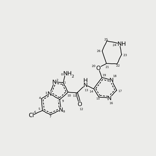 Nc1nn2cc(Cl)cnc2c1C(=O)Nc1cncnc1OC1CCNCC1